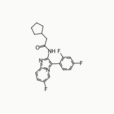 O=C(CC1CCCC1)Nc1nc2ccc(F)cn2c1-c1ccc(F)cc1F